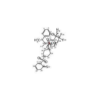 CC(c1ccccc1)N(C[C@H]1CN(S(=O)(=O)C2=CC=CCC2=S)CCN1c1ccc([C@](C)(O)C(F)(F)F)cc1)S(C)(=O)=O